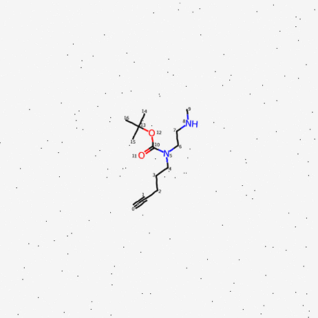 C#CCCCN(CCNC)C(=O)OC(C)(C)C